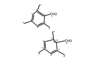 Cc1cc(C)c(C=O)c(C)c1.Cc1cc(C)c(C=O)c(C)c1